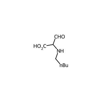 CCCCCNC(C=O)C(=O)O